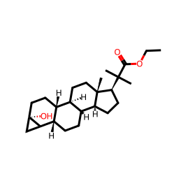 CCOC(=O)C(C)(C)[C@H]1CC[C@H]2[C@@H]3CC[C@@H]4C5C[C@@]5(O)CC[C@@H]4[C@H]3CC[C@]12C